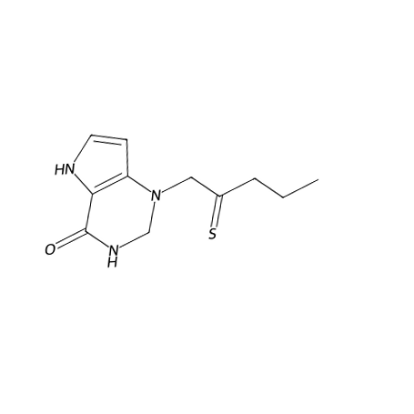 CCCC(=S)CN1CNC(=O)c2[nH]ccc21